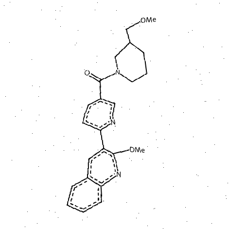 COCC1CCCN(C(=O)c2ccc(-c3cc4ccccc4nc3OC)nc2)C1